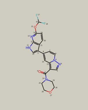 O=C(c1cnn2ccc(-c3c[nH]c4nc(OC(F)F)ccc34)cc12)N1CCOCC1